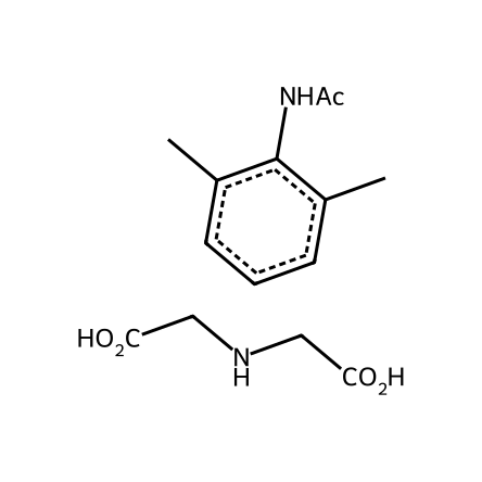 CC(=O)Nc1c(C)cccc1C.O=C(O)CNCC(=O)O